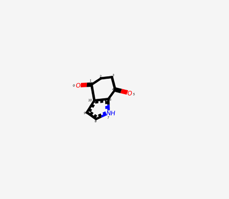 O=C1CCC(=O)c2[nH]c[c]c21